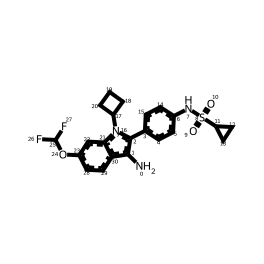 Nc1c(-c2ccc(NS(=O)(=O)C3CC3)cc2)n(C2CCC2)c2cc(OC(F)F)ccc12